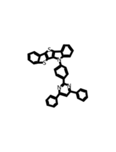 c1ccc(-c2cc(-c3ccccc3)nc(-c3ccc(-n4c5ccccc5c5sc6c7ccccc7sc6c54)cc3)n2)cc1